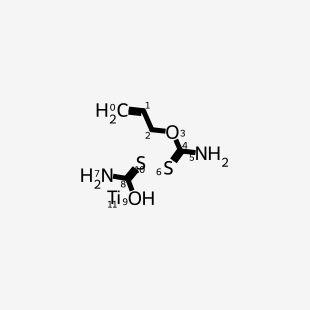 C=CCOC(N)=S.NC(O)=S.[Ti]